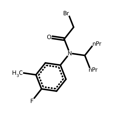 CCCC(CCC)N(C(=O)CBr)c1ccc(F)c(C)c1